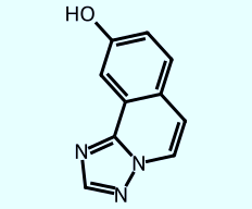 Oc1ccc2ccn3ncnc3c2c1